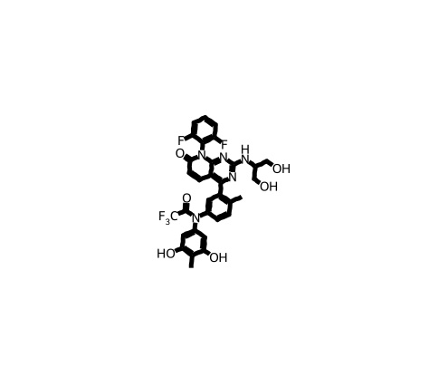 Cc1ccc(N(C(=O)C(F)(F)F)c2cc(O)c(C)c(O)c2)cc1-c1nc(NC(CO)CO)nc2c1ccc(=O)n2-c1c(F)cccc1F